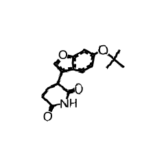 CC(C)(C)Oc1ccc2c(C3CCC(=O)NC3=O)coc2c1